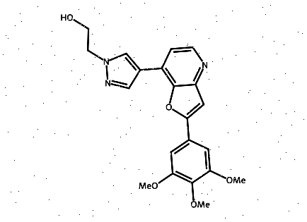 COc1cc(-c2cc3nccc(-c4cnn(CCO)c4)c3o2)cc(OC)c1OC